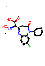 O=C(O)C(=NO)C1=Nc2ccc(Cl)cc2N(c2ccccc2)C(=O)C1